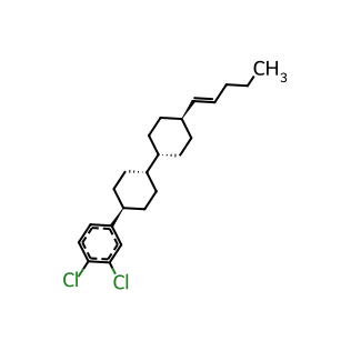 CCCC=C[C@H]1CC[C@H]([C@H]2CC[C@H](c3ccc(Cl)c(Cl)c3)CC2)CC1